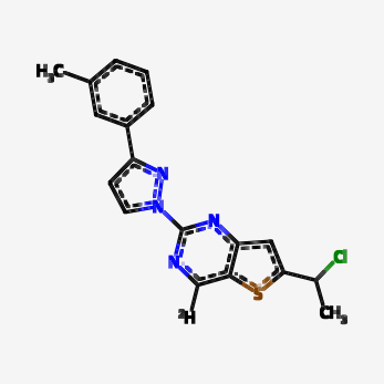 [2H]c1nc(-n2ccc(-c3cccc(C)c3)n2)nc2cc(C(C)Cl)sc12